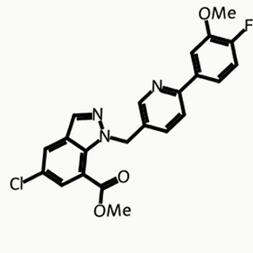 COC(=O)c1cc(Cl)cc2cnn(Cc3ccc(-c4ccc(F)c(OC)c4)nc3)c12